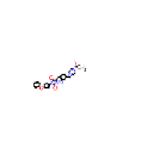 CC(=O)N1CCN(Cc2ccc(/C=C3\NC(=O)N(c4ccc(Oc5ccccc5)cc4)C3=O)cc2)CC1